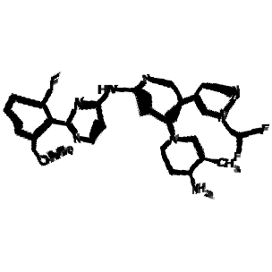 COc1cccc(F)c1-c1nccc(Nc2cc(N3CC[C@H](N)[C@H](C)C3)c(-c3cnn(C(F)F)c3)cn2)n1